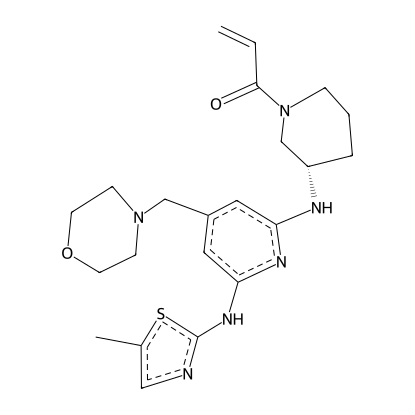 C=CC(=O)N1CCC[C@H](Nc2cc(CN3CCOCC3)cc(Nc3ncc(C)s3)n2)C1